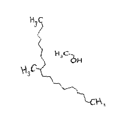 CCCCCCCCCCC(C)CCCCCCCC.CCO